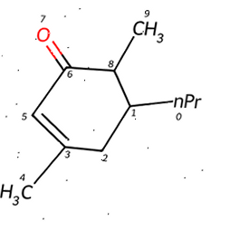 CCCC1CC(C)=CC(=O)C1C